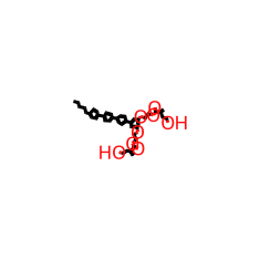 C=C(CCO)C(=O)OCCOc1cc(OCCOC(=O)C(=C)CCO)cc(-c2ccc(-c3ccc(-c4ccc(CCCCC)cc4)cc3)cc2)c1